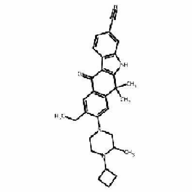 CCc1cc2c(cc1N1CCN(C3CCC3)C(C)C1)C(C)(C)c1[nH]c3cc(C#N)ccc3c1C2=O